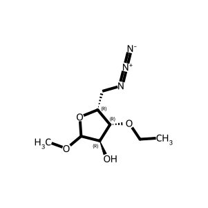 CCO[C@H]1[C@@H](CN=[N+]=[N-])OC(OC)[C@@H]1O